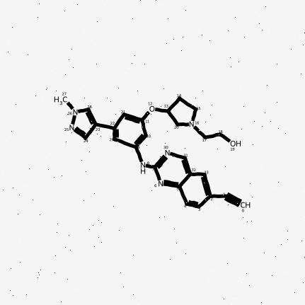 C#Cc1ccc2nc(Nc3cc(OC4CCN(CCO)C4)cc(-c4cnn(C)c4)c3)ncc2c1